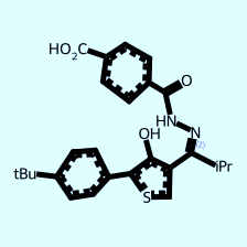 CC(C)/C(=N/NC(=O)c1ccc(C(=O)O)cc1)c1csc(-c2ccc(C(C)(C)C)cc2)c1O